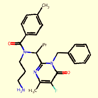 Cc1ccc(C(=O)N(CCCN)C(c2nc(C)c(F)c(=O)n2Cc2ccccc2)C(C)C)cc1